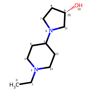 CCN1CCC(N2CC[C@H](O)C2)CC1